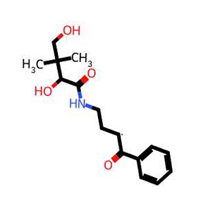 CC(C)(CO)C(O)C(=O)NCC[CH]C(=O)c1ccccc1